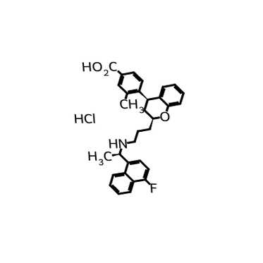 Cc1cc(C(=O)O)ccc1[C@@H]1C[C@H](CCCN[C@H](C)c2ccc(F)c3ccccc23)Oc2ccccc21.Cl